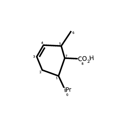 CC(C)C1CC=CC(C)C1C(=O)O